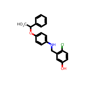 O=C(O)C(Oc1ccc(NCc2cc(O)ccc2Cl)cc1)c1ccccc1